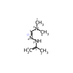 C=C(C)N/N=C\N(C)C